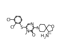 Cn1c(Sc2cccc(Cl)c2Cl)cnc(N2CCC3(CC2)COC[C@H]3N)c1=O